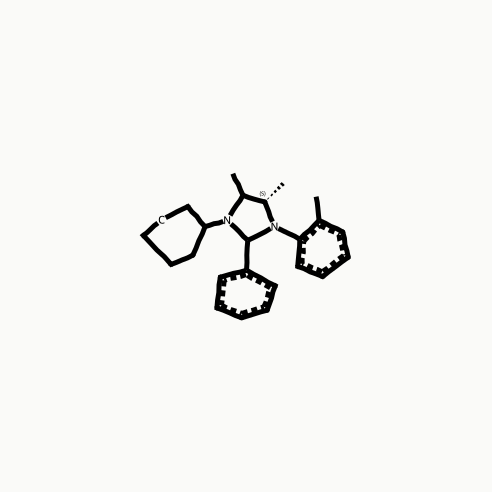 Cc1ccccc1N1C(c2ccccc2)N(C2CCCCC2)C(C)[C@@H]1C